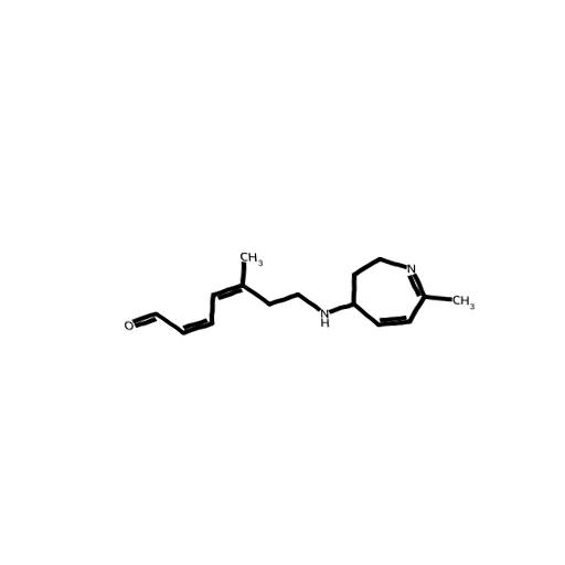 CC1=NCCC(NCC/C(C)=C\C=C/C=O)C=C1